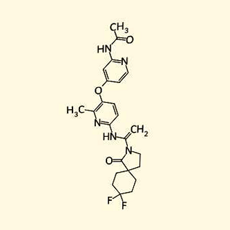 C=C(Nc1ccc(Oc2ccnc(NC(C)=O)c2)c(C)n1)N1CCC2(CCC(F)(F)CC2)C1=O